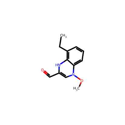 CCc1cccc2c1NC(C=O)=CN2OC